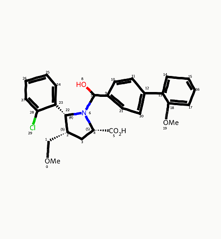 COC[C@H]1C[C@@H](C(=O)O)N(C(O)c2ccc(-c3ccccc3OC)cc2)[C@H]1c1ccccc1Cl